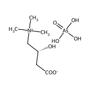 C[N+](C)(C)C[C@H](O)CC(=O)[O-].O=[As](O)(O)O